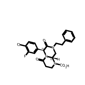 O=C1[C@H](c2ccc(Cl)c(F)c2)N2C(=O)CCN(C(=O)O)[C@H]2CN1CCc1ccccc1